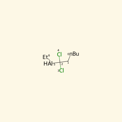 CCCCC[C](Cl)(Cl)[AlH][CH2]C